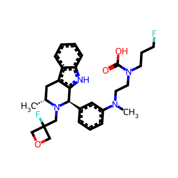 C[C@@H]1Cc2c([nH]c3ccccc23)[C@@H](c2cccc(N(C)CCN(CCCF)C(=O)O)c2)N1CC1(F)COC1